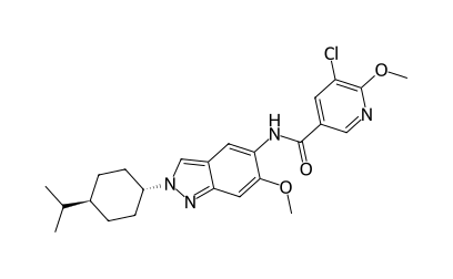 COc1cc2nn([C@H]3CC[C@H](C(C)C)CC3)cc2cc1NC(=O)c1cnc(OC)c(Cl)c1